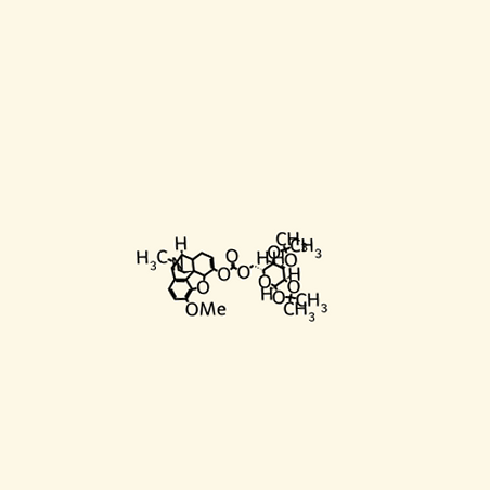 COc1ccc2c3c1OC1C(OC(=O)OC[C@H]4O[C@@H]5OC(C)(C)O[C@@H]5[C@H]5OC(C)(C)O[C@H]54)=CCC4[C@@H](C2)N(C)CC[C@]314